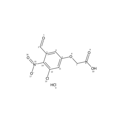 Cl.O=Cc1cc(OCC(=O)O)cc(Cl)c1[N+](=O)[O-]